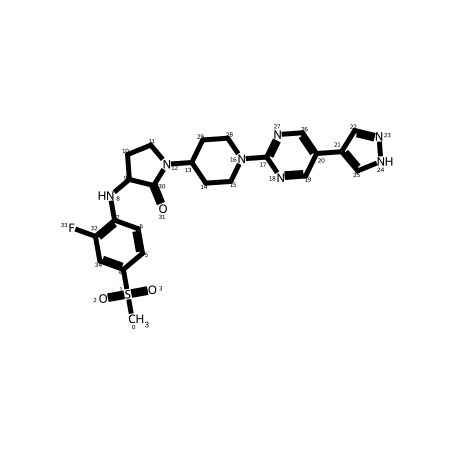 CS(=O)(=O)c1ccc(NC2CCN(C3CCN(c4ncc(-c5cn[nH]c5)cn4)CC3)C2=O)c(F)c1